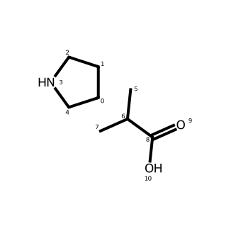 C1CCNC1.CC(C)C(=O)O